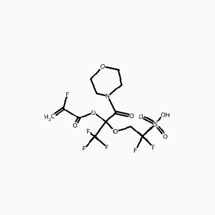 C=C(F)C(=O)OC(OCC(F)(F)S(=O)(=O)O)(C(=O)N1CCOCC1)C(F)(F)F